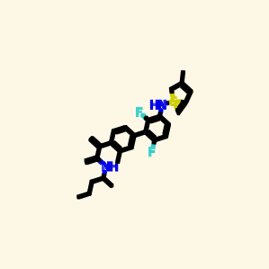 C=C(NC(C)CCC)C(=C)c1ccc(-c2c(F)ccc(NS34C=C3C=C(C)C4)c2F)cc1C